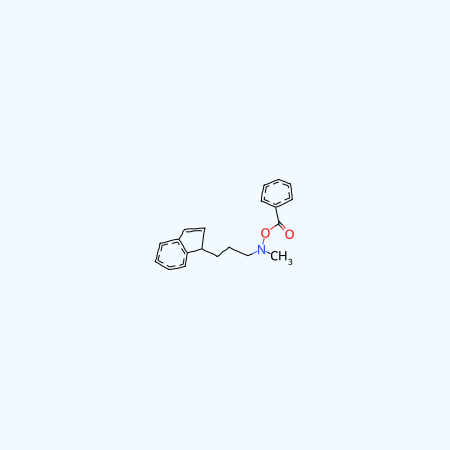 CN(CCCC1C=Cc2ccccc21)OC(=O)c1ccccc1